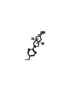 CCc1cnc(N2C[C@H]3C[C@@H](O)C[C@H]3C2)nc1